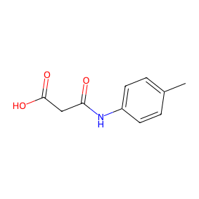 Cc1ccc(NC(=O)CC(=O)O)cc1